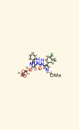 COCCN1C[C@@H](NC(=O)Nc2c(C)c(OC[C@@H]3COC(C)(C)O3)nn2-c2ccccc2)[C@H](c2ccc(F)c(F)c2)C1